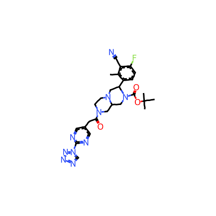 Cc1c(C2CN3CCN(C(=O)Cc4cnc(-n5cnnn5)nc4)CC3CN2C(=O)OC(C)(C)C)ccc(F)c1C#N